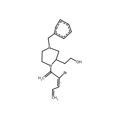 C=C/C=C(/Br)C(=C)N1CCN(Cc2ccccc2)CC1CCO